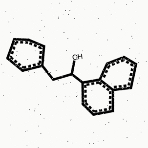 OC(Cc1ccccc1)c1cccc2ccccc12